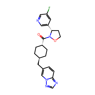 O=C([C@H]1CC[C@H](Cc2ccc3ncnn3c2)CC1)N1OCC[C@H]1c1cncc(F)c1